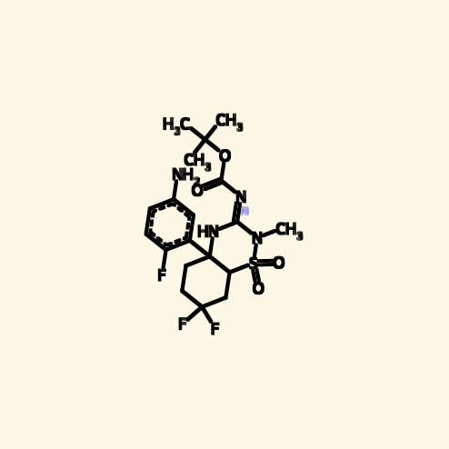 CN1/C(=N/C(=O)OC(C)(C)C)NC2(c3cc(N)ccc3F)CCC(F)(F)CC2S1(=O)=O